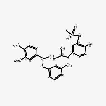 COc1ccc([C@@H](Cc2cccc(C(F)(F)F)c2)NC[C@@H](O)Cc2ccc(O)c(NS(C)(=O)=O)c2)cc1OC